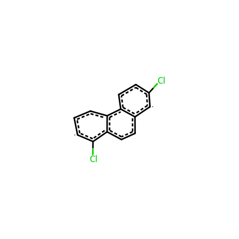 Clc1[c]c2ccc3c(Cl)[c]ccc3c2cc1